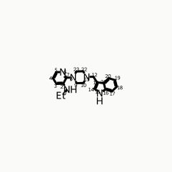 CCNc1cccnc1N1CCN(Cc2c[nH]c3ccccc23)CC1